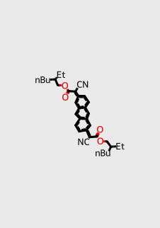 CCCCC(CC)COC(=O)/C(C#N)=c1/ccc2cc3c/c(=C(/C#N)C(=O)OCC(CC)CCCC)ccc3cc2c1